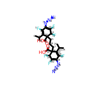 CC(C)C1=C(F)C(N=[N+]=[N-])=C(F)C(F)C1(CCCC1(C(=O)O)C(C(C)C)=C(F)C(N=[N+]=[N-])=C(F)C1F)C(=O)O